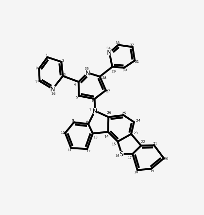 c1ccc(-c2cc(-n3c4ccccc4c4c5sc6ccccc6c5ccc43)cc(-c3ccccn3)n2)nc1